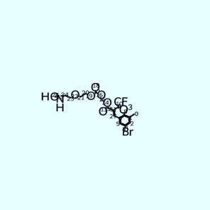 Cc1cc(Br)cc2c1OC(C(F)(F)F)C(C(=O)OCOC(=O)OCCOCCNO)=C2